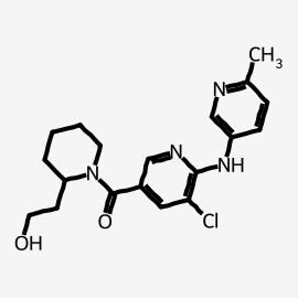 Cc1ccc(Nc2ncc(C(=O)N3CCCCC3CCO)cc2Cl)cn1